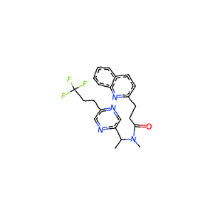 CC(c1cnc(CCC(F)(F)F)cn1)N(C)C(=O)CCc1ccc2ccccc2n1